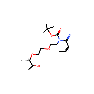 C/C=C\C(=N)N(CCOCCO[C@@H](C)C(C)O)C(=O)OC(C)(C)C